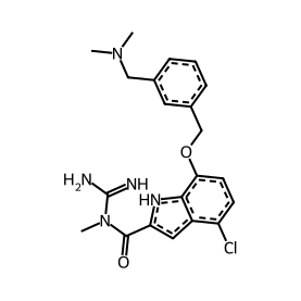 CN(C)Cc1cccc(COc2ccc(Cl)c3cc(C(=O)N(C)C(=N)N)[nH]c23)c1